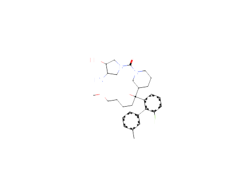 COCCCCC(O)(c1cccc(F)c1-c1cccc(C)c1)C1CCCN(C(=O)N2CC(N)C(O)C2)C1